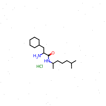 CC(C)CCCC(C)NC(=O)C(N)CC1CCCCC1.Cl